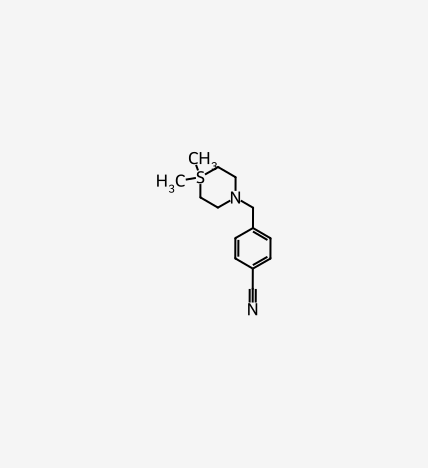 CS1(C)CCN(Cc2ccc(C#N)cc2)CC1